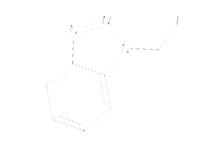 ICn1nnc2ccccc21